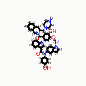 COc1cc(-n2cc(C(=O)N(c3ccc(O)cc3)c3ccc4[nH]ccc4c3)c3ccccc32)c(C(=O)N2Cc3ccccc3CC2CN2CCN(C)CC2)cc1O